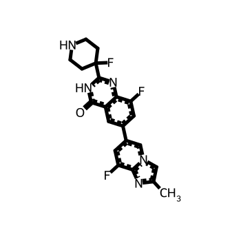 Cc1cn2cc(-c3cc(F)c4nc(C5(F)CCNCC5)[nH]c(=O)c4c3)cc(F)c2n1